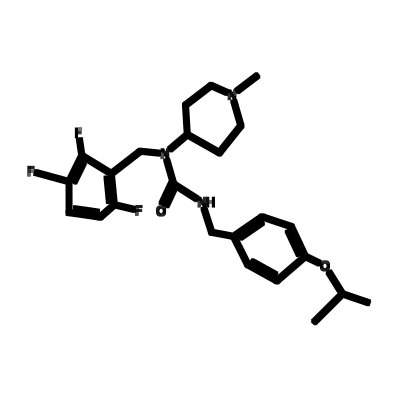 CC(C)Oc1ccc(CNC(=O)N(Cc2c(F)ccc(F)c2F)C2CCN(C)CC2)cc1